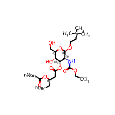 CCCCCCCCCCC[C@H](CC(=O)O[C@H]1[C@H](O)[C@@H](CO)O[C@@H](OCC[Si](C)(C)C)[C@@H]1NC(=O)OCC(Cl)(Cl)Cl)OC(=O)CCCCCCCCC